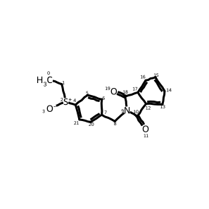 CC[S+]([O-])c1ccc(CN2C(=O)c3ccccc3C2=O)cc1